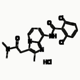 Cc1nc2c(NC(=O)c3c(Cl)cccc3Cl)cccn2c1CC(=O)N(C)C.Cl